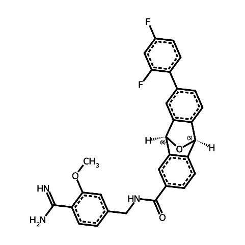 COc1cc(CNC(=O)c2ccc3c(c2)[C@@H]2O[C@H]3c3ccc(-c4ccc(F)cc4F)cc32)ccc1C(=N)N